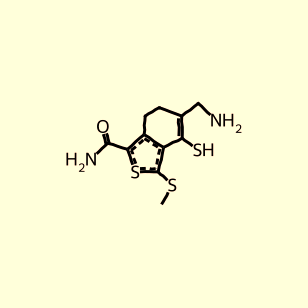 CSc1sc(C(N)=O)c2c1C(S)=C(CN)CC2